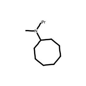 CC(C)N(C)C1CCCCCCC1